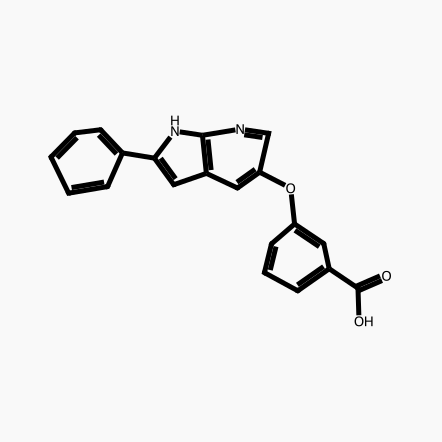 O=C(O)c1cccc(Oc2cnc3[nH]c(-c4ccccc4)cc3c2)c1